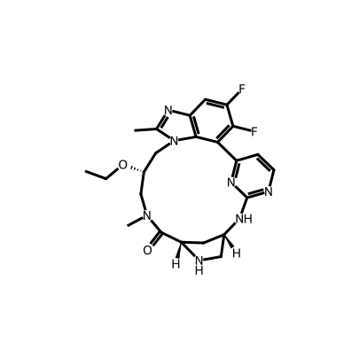 CCO[C@H]1CN(C)C(=O)[C@@H]2C[C@@H](CN2)Nc2nccc(n2)-c2c(F)c(F)cc3nc(C)n(c23)C1